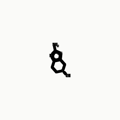 N#CN1CCc2nc(N)sc2C1